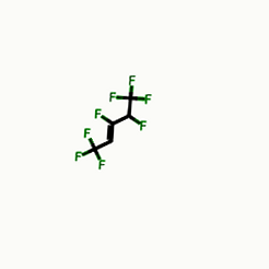 FC(=CC(F)(F)F)C(F)C(F)(F)F